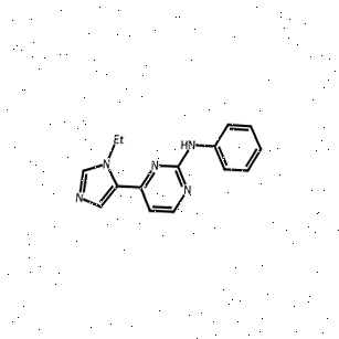 CCn1cncc1-c1ccnc(Nc2ccccc2)n1